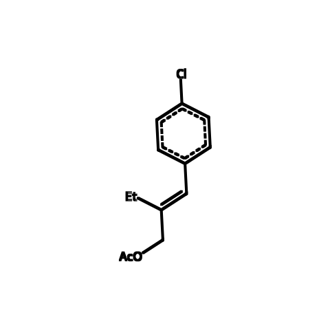 CC/C(=C\c1ccc(Cl)cc1)COC(C)=O